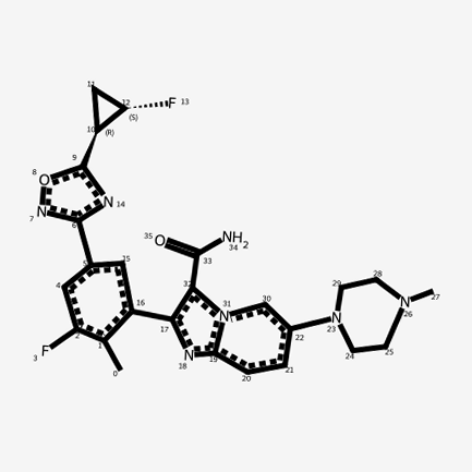 Cc1c(F)cc(-c2noc([C@H]3C[C@@H]3F)n2)cc1-c1nc2ccc(N3CCN(C)CC3)cn2c1C(N)=O